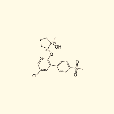 C[C@@]1(O)CCC[C@H]1Oc1ncc(Cl)cc1-c1ccc(S(C)(=O)=O)cc1